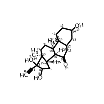 C#CC1(O)C(O)C[C@H]2[C@@H]3C(=O)CC4CC(O)CC[C@]4(C)[C@@H]3CC[C@@]21C